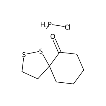 O=C1CCCCC12CCSS2.PCl